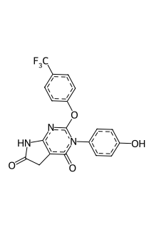 O=C1Cc2c(nc(Oc3ccc(C(F)(F)F)cc3)n(-c3ccc(O)cc3)c2=O)N1